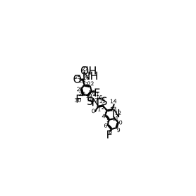 CC1=C(c2cc3cc(F)ccc3nc2C)SCN1Sc1c(F)cc(C(=O)NO)cc1F